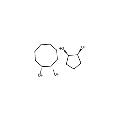 O[C@@H]1CCCCCC[C@@H]1O.O[C@@H]1CCC[C@@H]1O